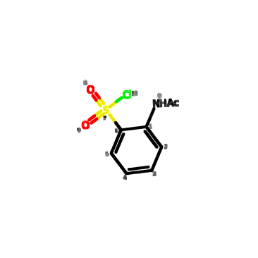 CC(=O)Nc1ccccc1S(=O)(=O)Cl